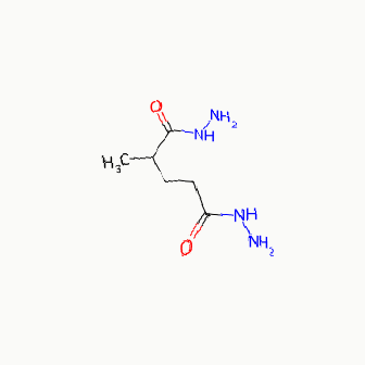 CC(CCC(=O)NN)C(=O)NN